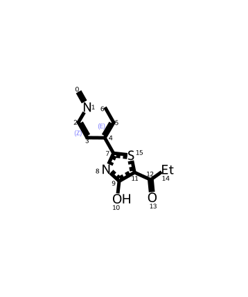 C=N/C=C\C(=C/C)c1nc(O)c(C(=O)CC)s1